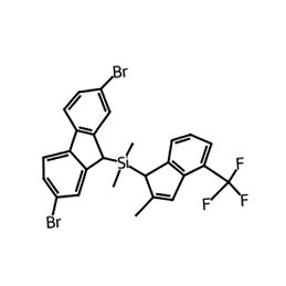 CC1=Cc2c(cccc2C(F)(F)F)C1[Si](C)(C)C1c2cc(Br)ccc2-c2ccc(Br)cc21